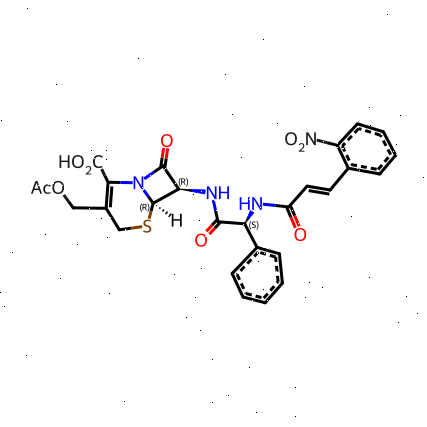 CC(=O)OCC1=C(C(=O)O)N2C(=O)[C@@H](NC(=O)[C@@H](NC(=O)C=Cc3ccccc3[N+](=O)[O-])c3ccccc3)[C@H]2SC1